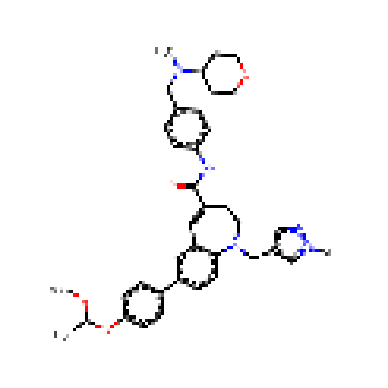 CCCCOC(C)Oc1ccc(-c2ccc3c(c2)C=C(C(=O)Nc2ccc(CN(C)C4CCOCC4)cc2)CCN3Cc2cnn(CC)c2)cc1